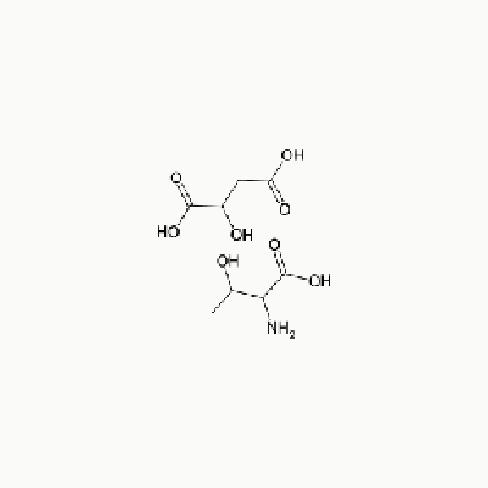 CC(O)C(N)C(=O)O.O=C(O)CC(O)C(=O)O